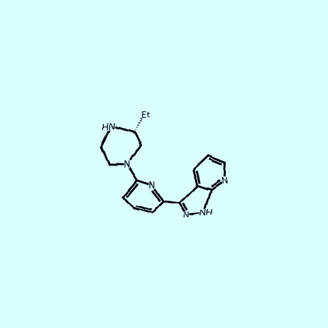 CC[C@@H]1CN(c2cccc(-c3n[nH]c4ncccc34)n2)CCN1